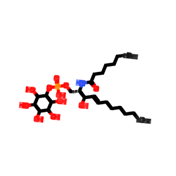 CCCCCCCCCCCCCCC/C=C/[C@@H](O)[C@H](COP(=O)(O)OC1C(O)C(O)C(O)[C@@H](O)C1O)NC(=O)CCCCCCCCCCCCCCC